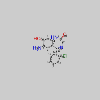 Nc1cc2c(cc1O)NC(=O)CN=C2c1ccccc1Cl